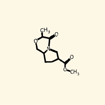 COC(=O)C1CCC2COC(C)C(=O)N2C1